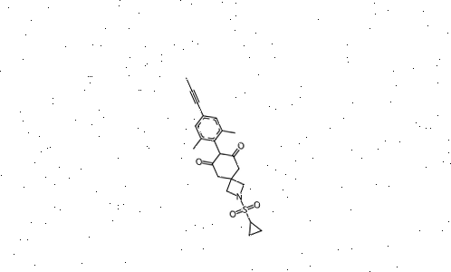 CC#Cc1cc(C)c(C2C(=O)CC3(CC2=O)CN(S(=O)(=O)C2CC2)C3)c(C)c1